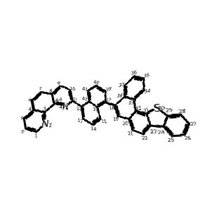 c1cnc2c(c1)ccc1ccc(-c3cccc4c(-c5cc6ccc7c8ccccc8sc7c6c6ccccc56)cccc34)nc12